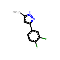 CCOC(=O)c1cc(-c2ccc(F)c(Cl)c2)n[nH]1